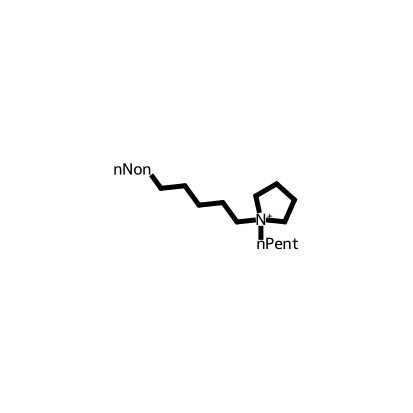 CCCCCCCCCCCCCC[N+]1(CCCCC)CCCC1